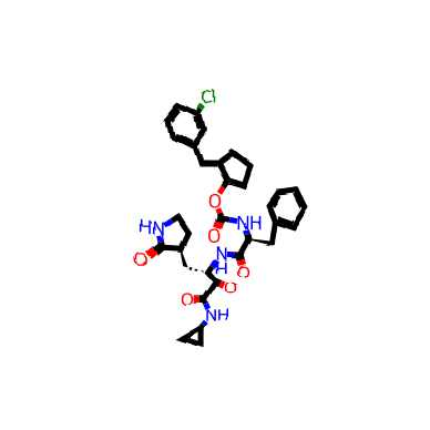 O=C(N[C@@H](Cc1ccccc1)C(=O)N[C@@H](C[C@@H]1CCNC1=O)C(=O)C(=O)NC1CC1)OC1CCCC1Cc1cccc(Cl)c1